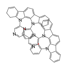 C1=Cc2c(n(-c3cncc(-c4cncc(-n5c6ccccc6c6ccc7c8ccccc8n(-c8ccccc8)c7c65)n4)n3)c3c2ccc2c4ccccc4n(-c4ccccc4)c23)CC1